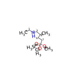 CCNCC(C)CCC(OC)(OC)O[SiH3]